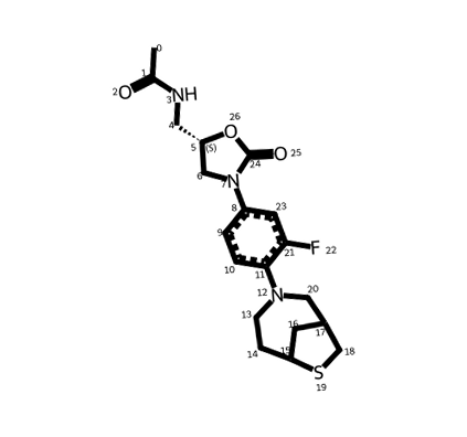 CC(=O)NC[C@H]1CN(c2ccc(N3CCC4CC(CS4)C3)c(F)c2)C(=O)O1